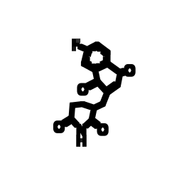 O=C1CCC(CC2=CC(=O)c3ccc(F)cc3C2=O)C(=O)N1